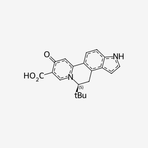 CC(C)(C)[C@@H]1Cc2c(ccc3[nH]ccc23)-c2cc(=O)c(C(=O)O)cn21